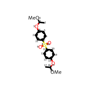 COC(C)Oc1ccc(S(=O)(=O)c2ccc(OC(C)OC)cc2)cc1